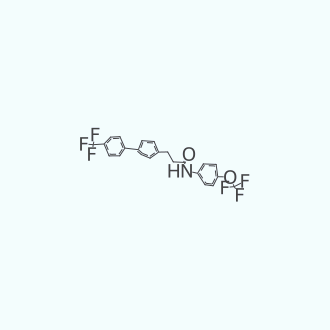 O=C(CCc1ccc(-c2ccc(C(F)(F)F)cc2)cc1)Nc1ccc(OC(F)(F)F)cc1